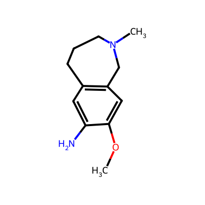 COc1cc2c(cc1N)CCCN(C)C2